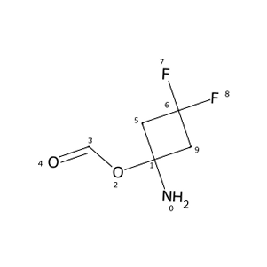 NC1(OC=O)CC(F)(F)C1